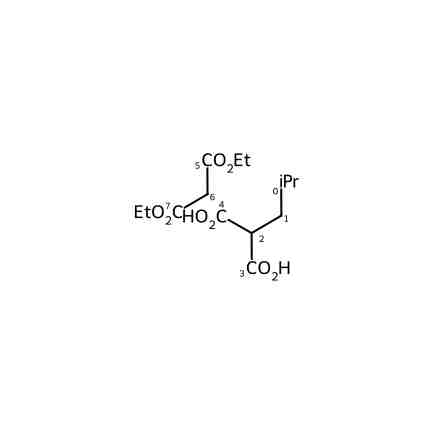 CC(C)CC(C(=O)O)C(=O)O.CCOC(=O)CC(=O)OCC